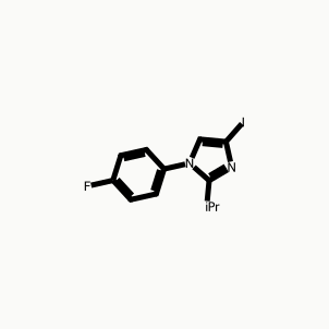 CC(C)c1nc(I)cn1-c1ccc(F)cc1